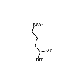 CCCC(CCCNC)C(C)=O